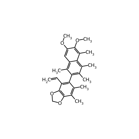 C=Cc1c2c(c(C)c(C)c1-c1c(C)c(C)c3c(C)c(OC)c(OC)cc3c1C)OCO2